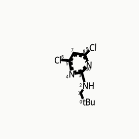 CC(C)(C)CNc1nc(Cl)cc(Cl)n1